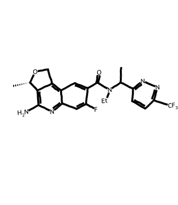 CCN(C(=O)c1cc2c3c(c(N)nc2cc1F)[C@H](C)OC3)C(C)c1ccc(C(F)(F)F)nn1